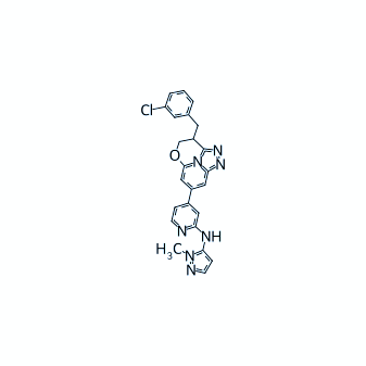 Cn1nccc1Nc1cc(-c2cc3n4c(nnc4c2)C(Cc2cccc(Cl)c2)CO3)ccn1